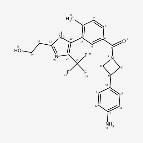 Cc1ccc(C(=O)N2CC(c3ccc(N)cc3)C2)cc1-c1[nH]c(CCO)nc1C(F)(F)F